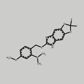 COc1ccc(CSc2nc3cc4c(cc3[nH]2)OC(F)(F)O4)c(N(C)C)c1